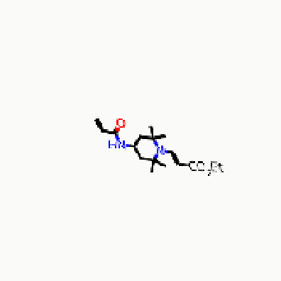 C=CC(=O)NC1CC(C)(C)N(C=CC(=O)OCC)C(C)(C)C1